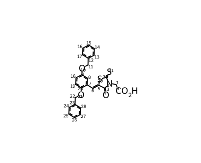 O=C(O)CN1C(=O)/C(=C/c2cc(OCc3ccccc3)ccc2OCc2ccccc2)SC1=S